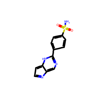 NS(=O)(=O)c1ccc(-c2ncc3nccc-3[nH]2)cc1